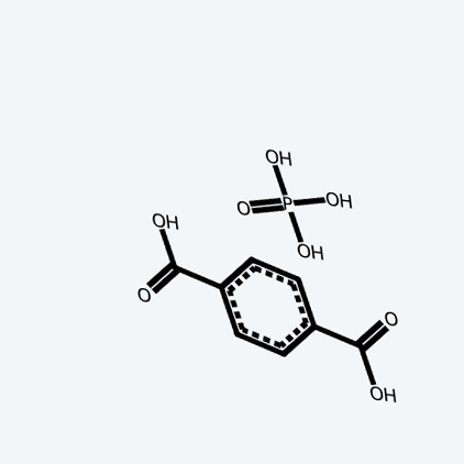 O=C(O)c1ccc(C(=O)O)cc1.O=P(O)(O)O